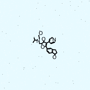 COCCN(CC1OC(c2ccc3c(c2)CCC3=O)=C(c2ccncc2)C1=O)C(C)C